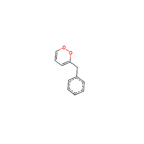 C1=COOC(Cc2ccccc2)=C1